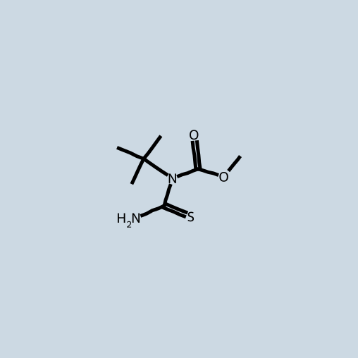 COC(=O)N(C(N)=S)C(C)(C)C